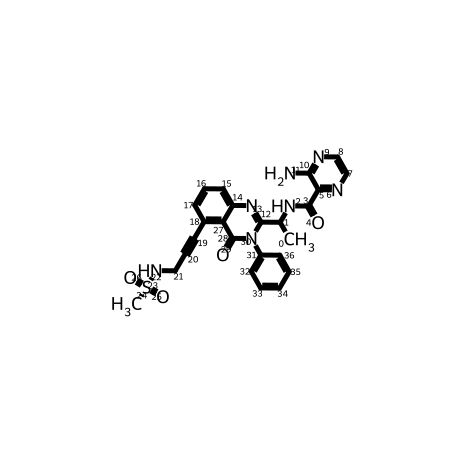 CC(NC(=O)c1nccnc1N)c1nc2cccc(C#CCNS(C)(=O)=O)c2c(=O)n1-c1ccccc1